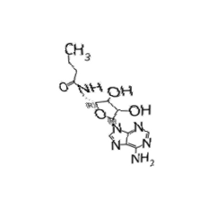 CCCC(=O)NC[C@H]1O[C@@H](n2cnc3c(N)ncnc32)C(O)C1O